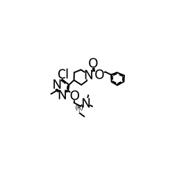 CC[C@H](COc1nc(C)nc(Cl)c1C1CCN(C(=O)OCc2ccccc2)CC1)N(C)C